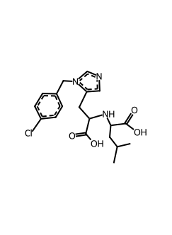 CC(C)CC(NC(Cc1cncn1Cc1ccc(Cl)cc1)C(=O)O)C(=O)O